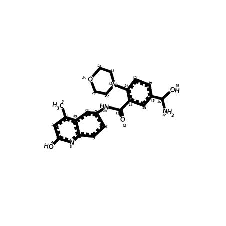 Cc1cc(O)nc2ccc(NC(=O)c3cc(C(N)O)ccc3N3CCOCC3)cc12